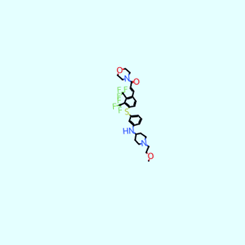 COCCN1CCC(Nc2cccc(Sc3ccc(/C=C/C(=O)N4CCOCC4)c(C(F)(F)F)c3C(F)(F)F)c2)CC1